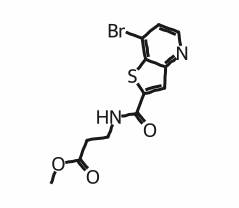 COC(=O)CCNC(=O)c1cc2nccc(Br)c2s1